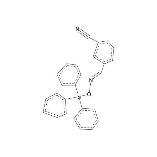 N#Cc1cccc(C=NO[Si](c2ccccc2)(c2ccccc2)c2ccccc2)c1